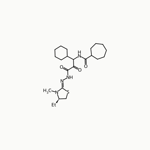 CC[C@@H]1CSC(=NNC(=O)C(=O)C(NC(=O)C2CCCCCC2)C2CCCCC2)N1C